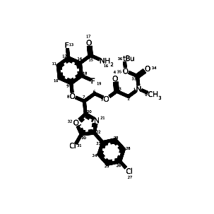 CN(CC(=O)OCC(Oc1ccc(F)c(C(N)=O)c1F)c1nc(-c2ccc(Cl)cc2)c(Cl)o1)C(=O)OC(C)(C)C